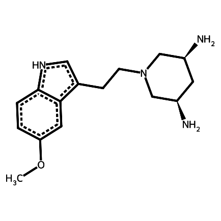 COc1ccc2[nH]cc(CCN3C[C@H](N)C[C@H](N)C3)c2c1